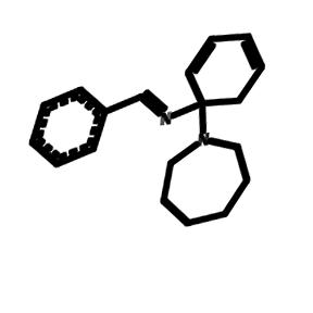 C1=CCC(N=Cc2ccccc2)(N2CCCCCC2)C=C1